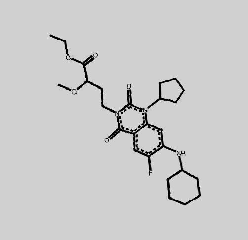 CCOC(=O)C(CCn1c(=O)c2cc(F)c(NC3CCCCC3)cc2n(C2CCCC2)c1=O)OC